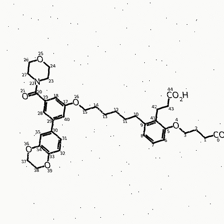 O=C(O)CCCOc1cccc(CCCCCCOc2cc(C(=O)N3CCOCC3)cc(-c3ccc4c(c3)OCCO4)c2)c1CCC(=O)O